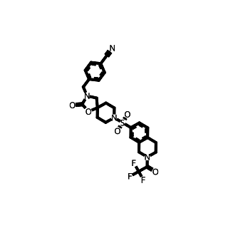 N#Cc1ccc(CN2CC3(CCN(S(=O)(=O)c4ccc5c(c4)CN(C(=O)C(F)(F)F)CC5)CC3)OC2=O)cc1